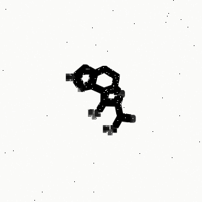 NC(=O)c1oc2c(c1C(F)(F)F)-c1n[nH]cc1CC2